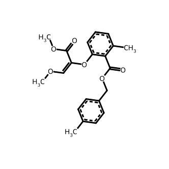 COC=C(Oc1cccc(C)c1C(=O)OCc1ccc(C)cc1)C(=O)OC